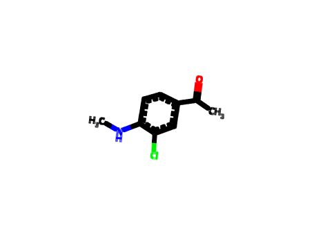 CNc1ccc(C(C)=O)cc1Cl